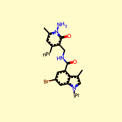 CCCc1cc(C)n(N)c(=O)c1CNC(=O)c1cc(Br)cc2c1c(C)cn2C(C)C